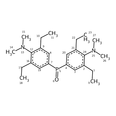 CCc1cc([P](=O)c2cc(CC)c(N(C)C)c(CC)c2)cc(CC)c1N(C)C